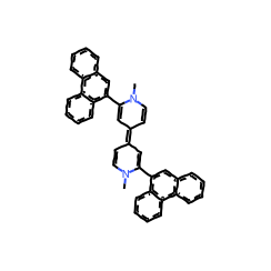 CN1C=C/C(=C2/C=CN(C)C(c3cc4ccccc4c4ccccc34)=C2)C=C1c1cc2ccccc2c2ccccc12